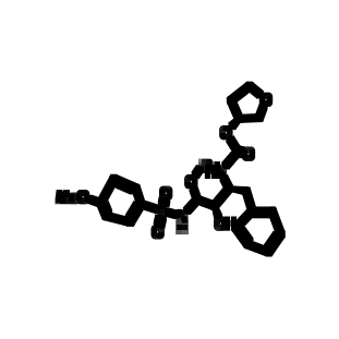 CCC(C)OC(NS(=O)(=O)c1ccc(OC)cc1)[C@H](O)[C@H](Cc1ccccc1)NC(=O)O[C@H]1CCOC1